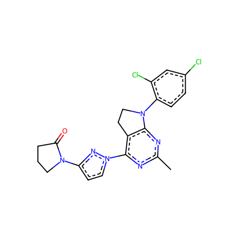 Cc1nc2c(c(-n3ccc(N4CCCC4=O)n3)n1)CCN2c1ccc(Cl)cc1Cl